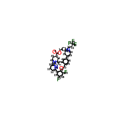 CCOC(=O)C1CCN(c2cccc(-c3cc(F)cc(F)c3OCc3ccc(C4CCN(CCC(F)(F)F)CC4)cc3C)n2)CC1